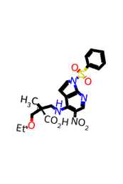 CCOC[C@](C)(CNc1c([N+](=O)[O-])cnc2c1ccn2S(=O)(=O)c1ccccc1)C(=O)O